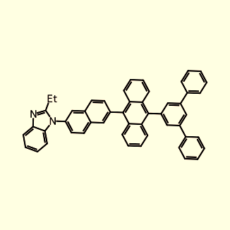 CCc1nc2ccccc2n1-c1ccc2cc(-c3c4ccccc4c(-c4cc(-c5ccccc5)cc(-c5ccccc5)c4)c4ccccc34)ccc2c1